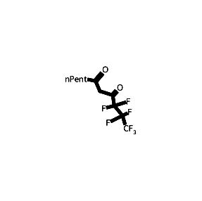 CCCCCC(=O)CC(=O)C(F)(F)C(F)(F)C(F)(F)F